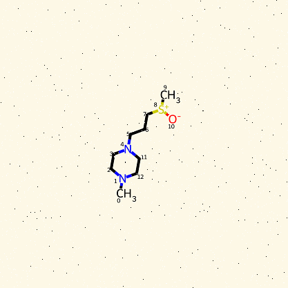 CN1CCN(CCC[S+](C)[O-])CC1